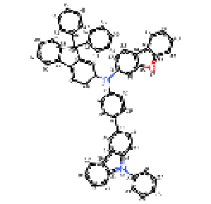 C1=C2C(=CC(N(c3ccc(-c4ccc5c(c4)c4ccccc4n5-c4ccccc4)cc3)c3ccc4c(c3)oc3ccccc34)C1)C(c1ccccc1)(c1ccccc1)c1ccccc12